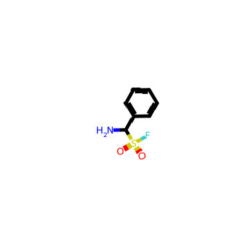 NC(c1ccccc1)S(=O)(=O)F